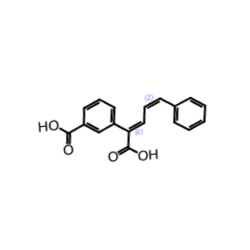 O=C(O)/C(=C/C=C\c1ccccc1)c1cccc(C(=O)O)c1